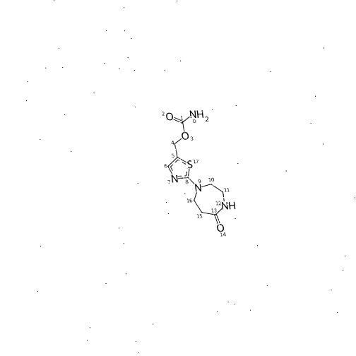 NC(=O)OCc1cnc(N2CCNC(=O)CC2)s1